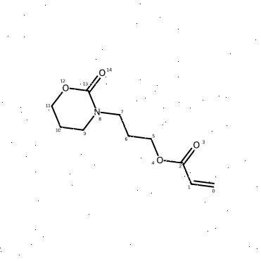 C=CC(=O)OCCCN1CCCOC1=O